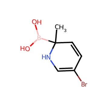 CC1(B(O)O)C=CC(Br)=CN1